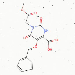 COC(=O)Cn1c(=O)[nH]c(C(=O)O)c(OCc2ccccc2)c1=O